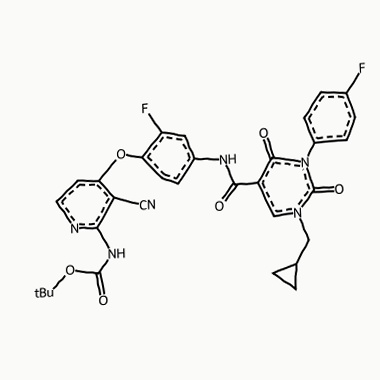 CC(C)(C)OC(=O)Nc1nccc(Oc2ccc(NC(=O)c3cn(CC4CC4)c(=O)n(-c4ccc(F)cc4)c3=O)cc2F)c1C#N